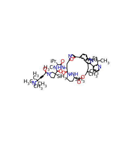 CCn1c(-c2cccnc2[C@H](C)OC)c2c3cc(ccc31)-c1cnc(o1)C[C@H](NC(=O)[C@H](C(C)C)N(C)C(=O)[C@]1([SiH3])CCN(C(=O)C#CC(C)(C)N(C)C)C1)C(=O)N1CCC[C@@]([SiH3])(N1)C(=O)OCC(C)(C)C2